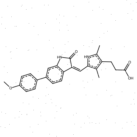 COc1ccc(-c2ccc3c(c2)NC(=O)C3=Cc2[nH]c(C)c(CCC(=O)O)c2C)cc1